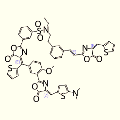 CCN(CCc1cccc(/C=C/C2=NC(=C/c3cccs3)/C(=O)O2)c1)S(=O)(=O)c1cccc(C2=N/C(=C(\c3ccc(OC)c(C4=N/C(=C\c5ccc(N(C)C)s5)C(=O)O4)c3)c3cccs3)C(=O)O2)c1